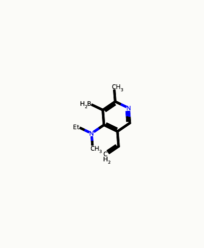 Bc1c(C)ncc(C=C)c1N(C)CC